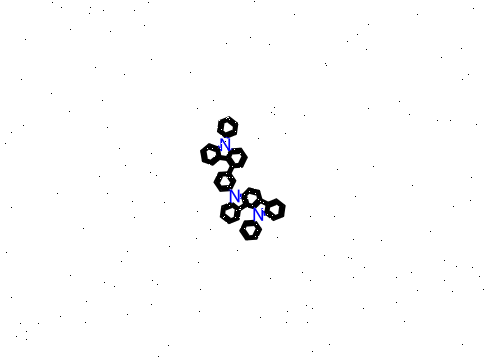 c1ccc(-n2c3ccccc3c3c(-c4cccc(-n5c6ccccc6c6c5ccc5c7ccccc7n(-c7ccccc7)c56)c4)cccc32)cc1